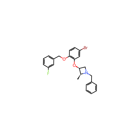 C[C@H]1[C@@H](Oc2cc(Br)ccc2OCc2cccc(F)c2)CN1Cc1ccccc1